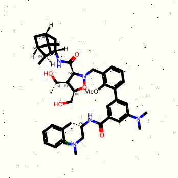 COc1c(CN2O[C@@H](CO)[C@@H]([C@H](C)O)[C@H]2C(=O)N[C@H]2C[C@H]3C[C@@H]([C@@H]2C)C3(C)C)cccc1-c1cc(C(=O)N[C@@H](Cc2ccccc2Cl)CN(C)C)cc(N(C)C)c1